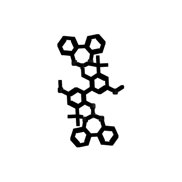 COc1cc(-c2cc(OC)cc(C(C)(C)C)c2Op2oc3ccccc3c3ccccc3o2)c(Cp2oc3ccccc3c3ccccc3o2)c(C(C)(C)C)c1